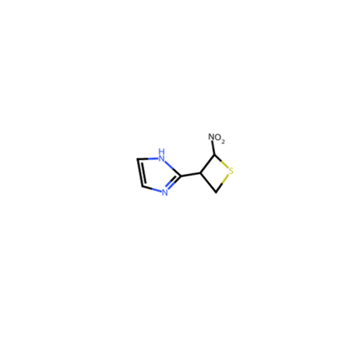 O=[N+]([O-])C1SCC1c1ncc[nH]1